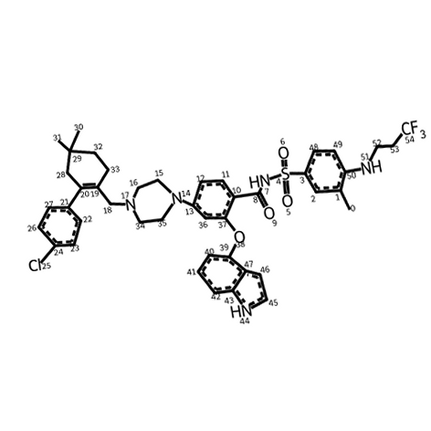 Cc1cc(S(=O)(=O)NC(=O)c2ccc(N3CCN(CC4=C(c5ccc(Cl)cc5)CC(C)(C)CC4)CC3)cc2Oc2cccc3[nH]ccc23)ccc1NCCC(F)(F)F